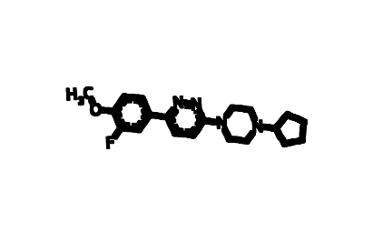 COc1ccc(-c2ccc(N3CCN(C4CCCC4)CC3)nn2)cc1F